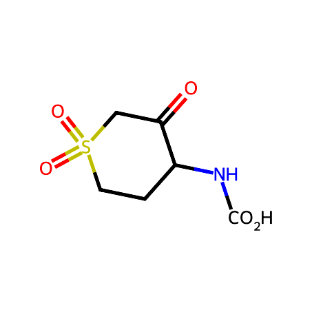 O=C(O)NC1CCS(=O)(=O)CC1=O